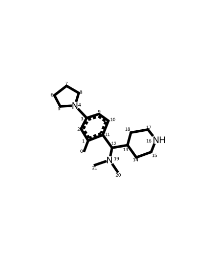 Cc1cc(N2CCCC2)ccc1C(C1CCNCC1)N(C)C